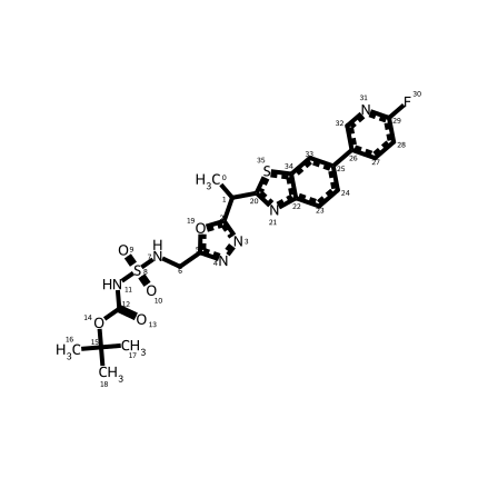 CC(c1nnc(CNS(=O)(=O)NC(=O)OC(C)(C)C)o1)c1nc2ccc(-c3ccc(F)nc3)cc2s1